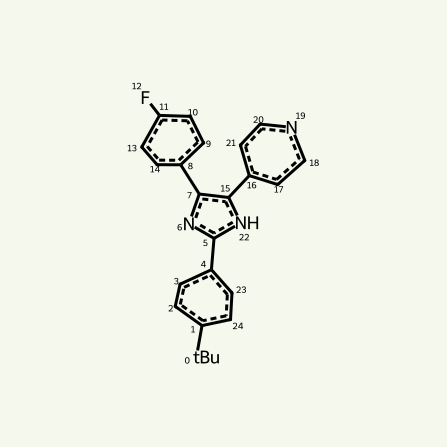 CC(C)(C)c1ccc(-c2nc(-c3ccc(F)cc3)c(-c3ccncc3)[nH]2)cc1